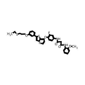 CCSCCCOc1cccc(-c2cc3nccc(Oc4ccc(NC(=O)CC(=O)Nc5ccccc5OC)cc4F)c3s2)c1